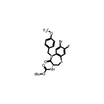 CC(C)(C)OC(=O)N[C@H]1CSc2cc(F)c(Br)cc2N(Cc2ccc(OC(F)(F)F)cc2)C1=O